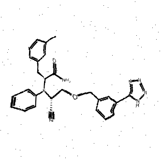 Cc1cccc(C[C@@H](C(N)=O)N(c2ccccc2)[C@@H](C#N)COCc2cccc(-c3nnn[nH]3)c2)c1